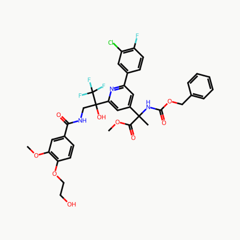 COC(=O)C(C)(NC(=O)OCc1ccccc1)c1cc(-c2ccc(F)c(Cl)c2)nc(C(O)(CNC(=O)c2ccc(OCCO)c(OC)c2)C(F)(F)F)c1